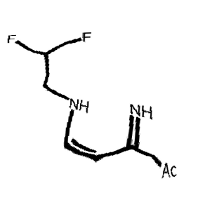 CC(=O)C(=N)/C=C\NCC(F)F